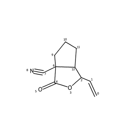 C=CC1OC(=O)C2(C#N)CCCC12